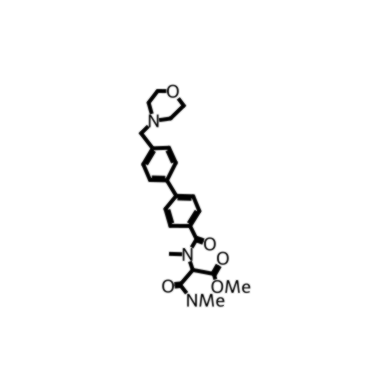 CNC(=O)C(C(=O)OC)N(C)C(=O)c1ccc(-c2ccc(CN3CCOCC3)cc2)cc1